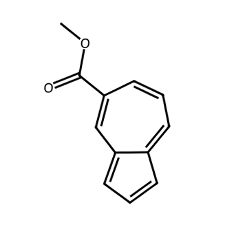 COC(=O)c1cccc2cccc-2c1